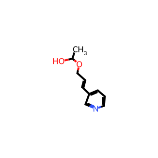 CC(O)OC/C=C/c1cccnc1